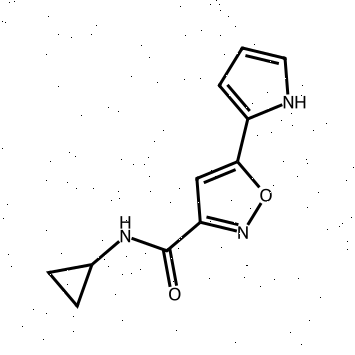 O=C(NC1CC1)c1cc(-c2ccc[nH]2)on1